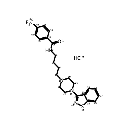 Cl.O=C(NCCCCN1CCN(c2nsc3ccccc23)CC1)c1ccc(C(F)(F)F)cc1